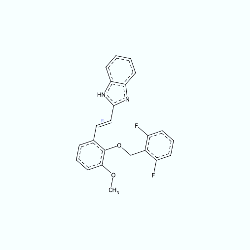 COc1cccc(/C=C/c2nc3ccccc3[nH]2)c1OCc1c(F)cccc1F